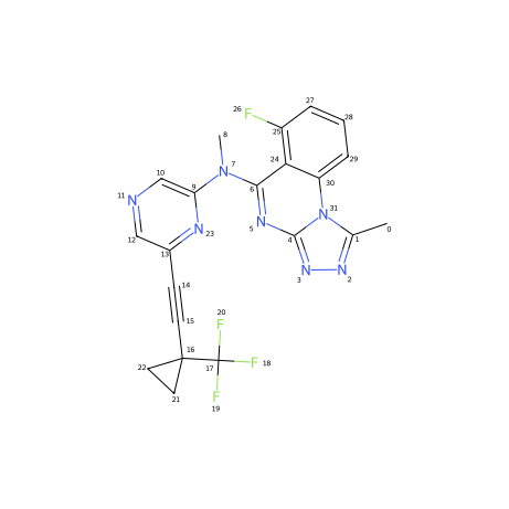 Cc1nnc2nc(N(C)c3cncc(C#CC4(C(F)(F)F)CC4)n3)c3c(F)cccc3n12